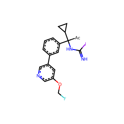 CC(=O)C(NC(=N)I)(c1cccc(-c2cncc(OCF)c2)c1)C1CC1